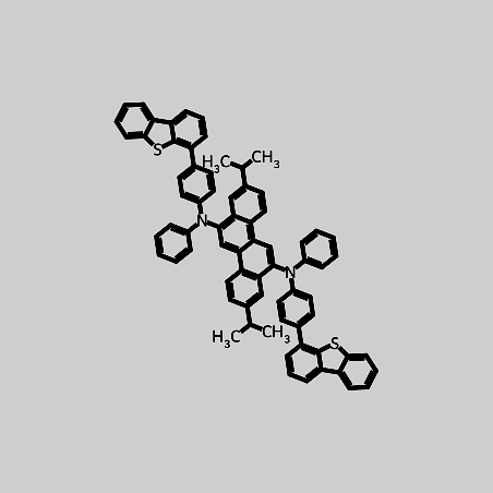 CC(C)c1ccc2c(c1)c(N(c1ccccc1)c1ccc(-c3cccc4c3sc3ccccc34)cc1)cc1c3ccc(C(C)C)cc3c(N(c3ccccc3)c3ccc(-c4cccc5c4sc4ccccc45)cc3)cc21